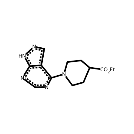 CCOC(=O)C1CCN(c2ncnc3[nH]ncc23)CC1